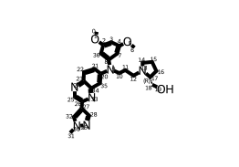 COc1cc(OC)cc(N(CCCN2CCC[C@@H]2CO)c2ccc3ncc(-c4cnn(C)c4)nc3c2)c1